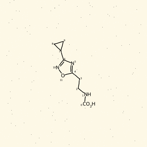 O=C(O)NCCc1nc(C2CC2)no1